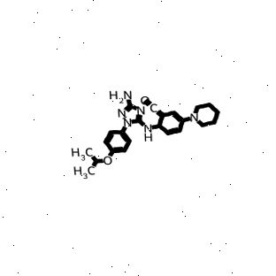 CC(C)Oc1ccc(-n2nc(N)nc2NC2C=CC(N3CCCCC3)=CC2=C=O)cc1